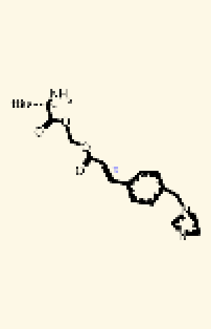 CC(C)(C)[C@H](N)C(=O)OCOC(=O)/C=C/c1ccc(Cn2ccnc2)cc1